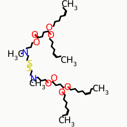 CC/C=C\CCCCOC(CCC(=O)OCCCN(C)CCSSCCN(C)CCCOC(=O)CCC(OCCCC/C=C\CC)OCCCC/C=C\CC)OCCCC/C=C\CC